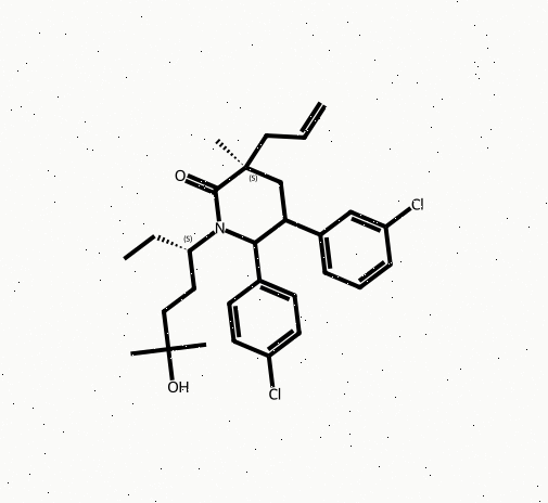 C=CC[C@@]1(C)CC(c2cccc(Cl)c2)C(c2ccc(Cl)cc2)N([C@@H](CC)CCC(C)(C)O)C1=O